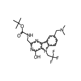 CN(C)Cc1ccc2c(c1)c1nc(CNC(=O)OC(C)(C)C)nc(O)c1n2CC(F)(F)F